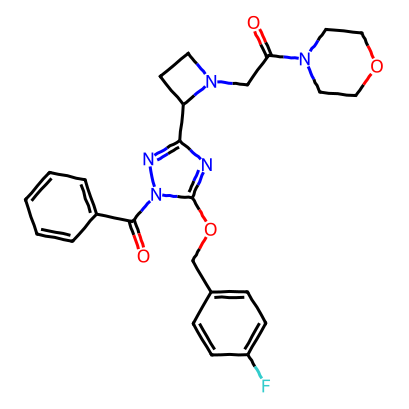 O=C(CN1CCC1c1nc(OCc2ccc(F)cc2)n(C(=O)c2ccccc2)n1)N1CCOCC1